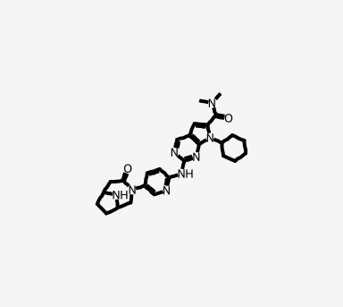 CN(C)C(=O)c1cc2cnc(Nc3ccc(N4CC5CCC(CC4=O)N5)cn3)nc2n1C1CCCCC1